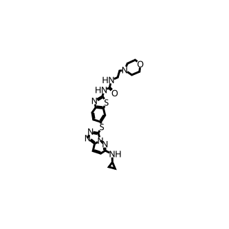 O=C(NCCN1CCOCC1)Nc1nc2ccc(Sc3nnc4ccc(NC5CC5)nn34)cc2s1